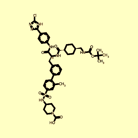 Cc1cc(S(=O)(=O)NC2CCN(C(=O)O)CC2)ccc1-c1cccc(C[C@H](NC(=O)[C@H]2CC[C@H](CNC(=O)OC(C)(C)C)CC2)C(=O)Nc2ccc(-c3nnc(Cl)[nH]3)cc2)c1